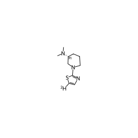 [2H]c1cnc(N2CCC[C@@H](N(C)C)C2)s1